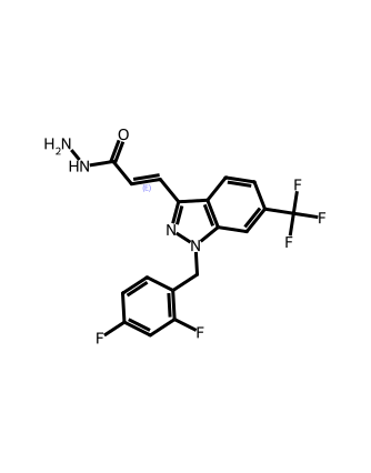 NNC(=O)/C=C/c1nn(Cc2ccc(F)cc2F)c2cc(C(F)(F)F)ccc12